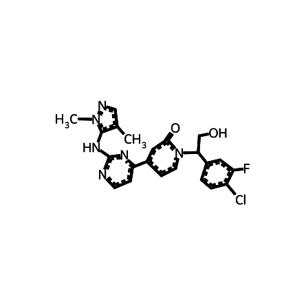 Cc1cnn(C)c1Nc1nccc(-c2ccn(C(CO)c3ccc(Cl)c(F)c3)c(=O)c2)n1